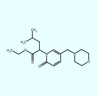 CCOC(=O)C(CC(C)C)n1cc(CN2CCOCC2)ccc1=O